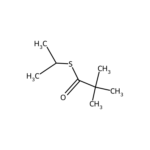 CC(C)SC(=O)C(C)(C)C